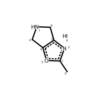 Cc1nc2c(o1)CNC2.I